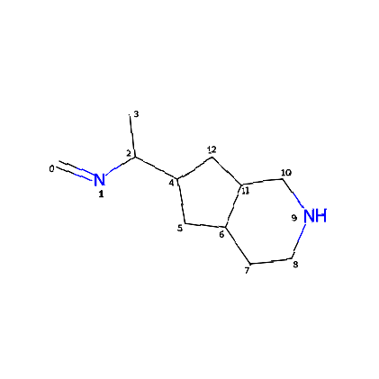 C=NC(C)C1CC2CCNCC2C1